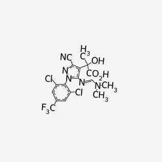 CN(C)C=Nc1c(C(C)(O)C(=O)O)c(C#N)nn1-c1c(Cl)cc(C(F)(F)F)cc1Cl